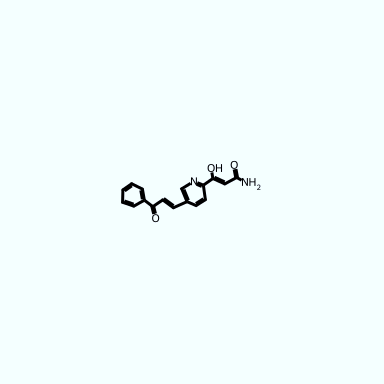 NC(=O)C=C(O)c1ccc(C=CC(=O)c2ccccc2)cn1